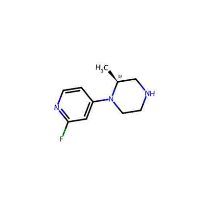 C[C@H]1CNCCN1c1ccnc(F)c1